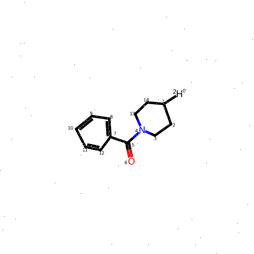 [2H]C1CCN(C(=O)c2ccccc2)CC1